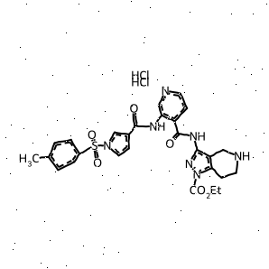 CCOC(=O)n1nc(NC(=O)c2ccncc2NC(=O)c2ccn(S(=O)(=O)c3ccc(C)cc3)c2)c2c1CCNC2.Cl.Cl